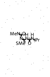 CNC(=O)N=C(NC(=O)NC(C)C)SC